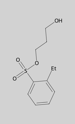 CCc1ccccc1S(=O)(=O)OCCCO